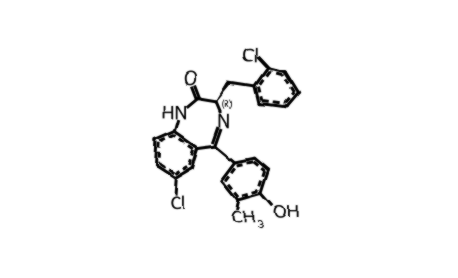 Cc1cc(C2=N[C@H](Cc3ccccc3Cl)C(=O)Nc3ccc(Cl)cc32)ccc1O